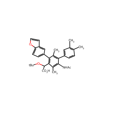 CC(=O)Nc1c(C)c(C(OC(C)(C)C)C(=O)O)c(-c2ccc3occc3c2)c(C)c1-c1ccc(C)c(C)c1